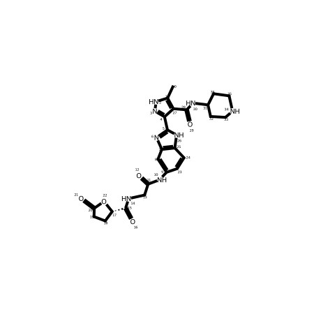 Cc1[nH]nc(-c2nc3cc(NC(=O)CNC(=O)[C@@H]4CCC(=O)O4)ccc3[nH]2)c1C(=O)NC1CCNCC1